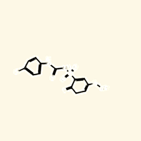 CCCOC1=CCC(=S)C(S(=O)(=O)NC(=O)Nc2ccc(Cl)cc2)=C1